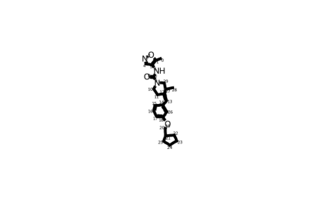 Cc1oncc1NC(=O)N1CCC(=Cc2cccc(OCC3CCCC3)c2)C(C)C1